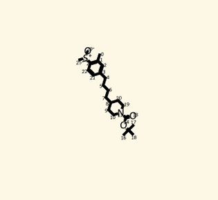 Cc1cc(CCCCC2CCN(C(=O)OC(C)(C)C)CC2)ccc1[S+](C)[O-]